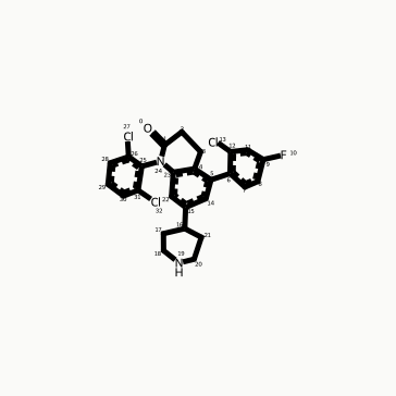 O=C1CCc2c(-c3ccc(F)cc3Cl)cc(C3CCNCC3)cc2N1c1c(Cl)cccc1Cl